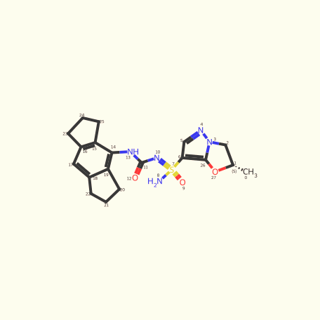 C[C@H]1Cn2ncc(S(N)(=O)=NC(=O)Nc3c4c(cc5c3CCC5)CCC4)c2O1